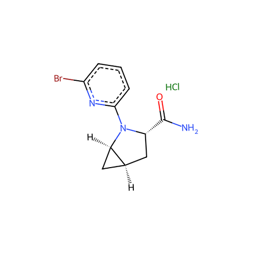 Cl.NC(=O)[C@@H]1C[C@H]2C[C@H]2N1c1cccc(Br)n1